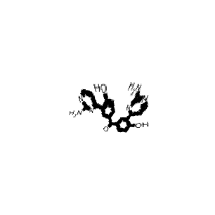 Nc1nccc(-c2cc(C(=O)c3ccc(O)c(-c4ccnc(N)n4)c3)ccc2O)n1